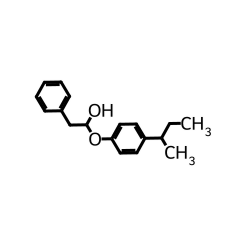 CCC(C)c1ccc(OC(O)Cc2ccccc2)cc1